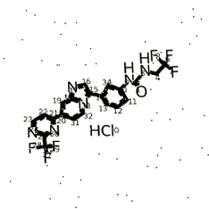 Cl.O=C(NCC(F)(F)F)Nc1cccc(-c2cnc3cc(-c4ccnc(C(F)(F)F)n4)ccn23)c1